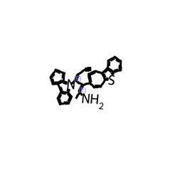 C#C/C=C(\C(C1=C=Cc2c(sc3ccccc23)C=C1)=C(/C)N)n1c2ccccc2c2ccccc21